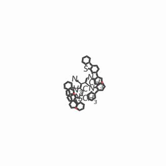 CC(C/C(=C(C#N)\C(=C\n1c2ccccc2c2ccc3c4ccccc4sc3c21)C(C)(C)n1c2ccccc2c2ccccc21)n1c2ccccc2c2ccc3c4ccccc4sc3c21)n1c2ccccc2c2ccccc21